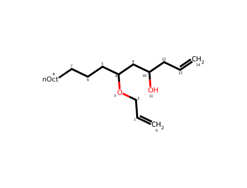 C=CCOC(CCCCCCCCCCC)CC(O)CC=C